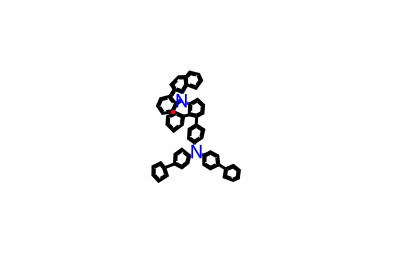 c1ccc(-c2ccc(N(c3ccc(-c4ccccc4)cc3)c3ccc(-c4cccc(-n5c6ccccc6c6ccc7ccccc7c65)c4-c4ccccc4)cc3)cc2)cc1